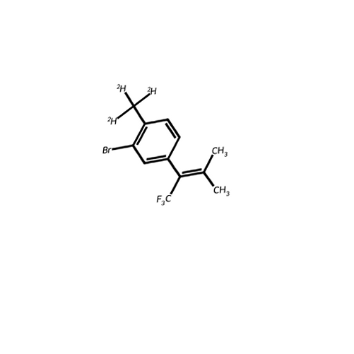 [2H]C([2H])([2H])c1ccc(C(=C(C)C)C(F)(F)F)cc1Br